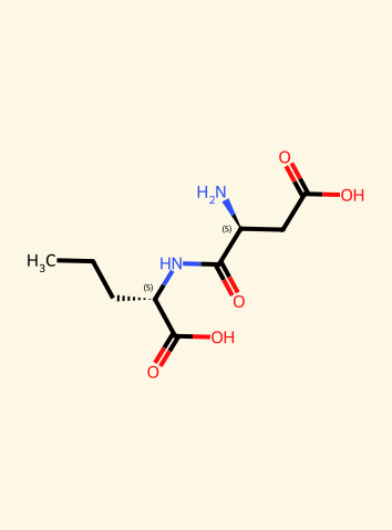 CCC[C@H](NC(=O)[C@@H](N)CC(=O)O)C(=O)O